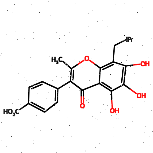 Cc1oc2c(CC(C)C)c(O)c(O)c(O)c2c(=O)c1-c1ccc(C(=O)O)cc1